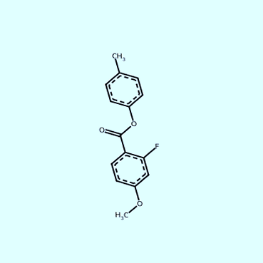 COc1ccc(C(=O)Oc2ccc(C)cc2)c(F)c1